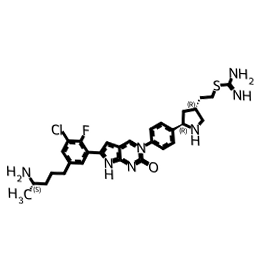 C[C@H](N)CCCc1cc(Cl)c(F)c(-c2cc3cn(-c4ccc([C@H]5C[C@H](CCSC(=N)N)CN5)cc4)c(=O)nc3[nH]2)c1